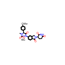 COc1ccc(C(C(=O)Nc2ccc3c(c2)CN(C2CCC(=O)NC2=O)C3=O)N(C)C(=O)OC(C)(C)C)cc1